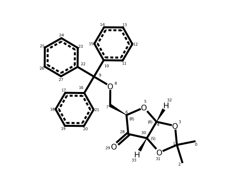 CC1(C)O[C@H]2O[C@H](COC(c3ccccc3)(c3ccccc3)c3ccccc3)C(=O)[C@H]2O1